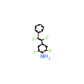 Nc1c(F)cc(/C(F)=C(\F)c2ccccc2)cc1F